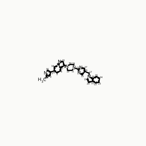 Cn1cc(-c2ccc3c(N4CCN(c5ncc(Cn6ccc7ccccc76)cn5)CC4)cnn3c2)cn1